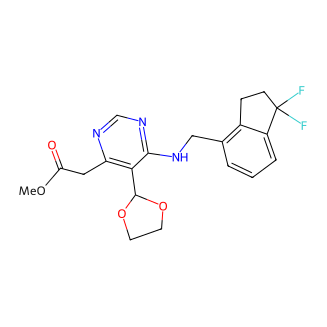 COC(=O)Cc1ncnc(NCc2cccc3c2CCC3(F)F)c1C1OCCO1